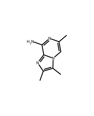 Cc1cn2c(C)c(C)nc2c(N)n1